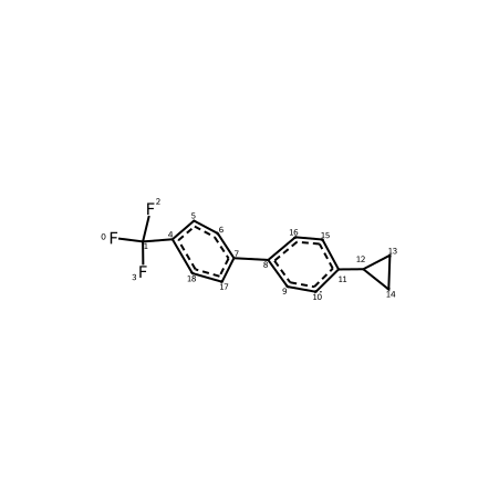 FC(F)(F)c1ccc(-c2c[c]c(C3CC3)cc2)cc1